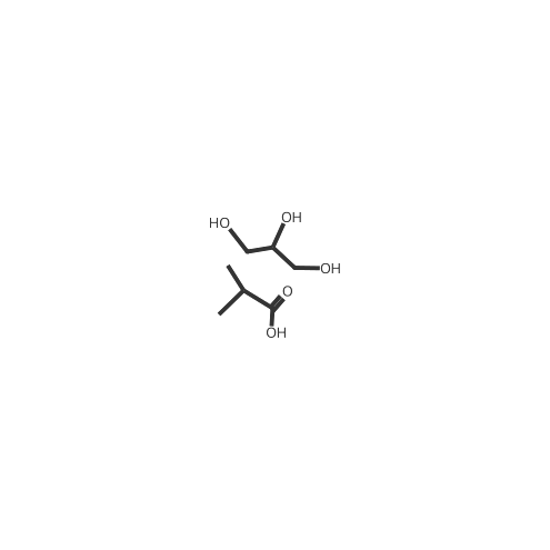 CC(C)C(=O)O.OCC(O)CO